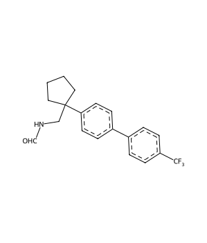 O=CNCC1(c2ccc(-c3ccc(C(F)(F)F)cc3)cc2)CCCC1